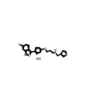 Cl.Fc1ccc2c(-c3ccc(OCCCNCc4ccsc4)cc3)onc2c1